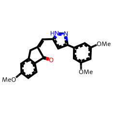 COc1cc(OC)cc(-c2cc(C=C3Cc4cc(OC)ccc4C3=O)[nH]n2)c1